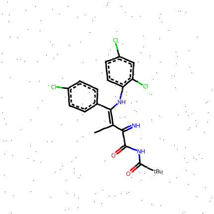 C/C(C(=N)C(=O)NC(=O)C(C)(C)C)=C(/Nc1ccc(Cl)cc1Cl)c1ccc(Cl)cc1